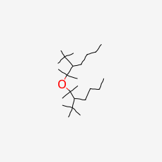 CCCCC(C(C)(C)C)C(C)(C)OC(C)(C)C(CCCC)C(C)(C)C